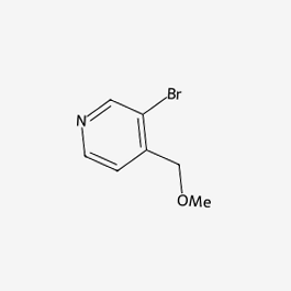 COCc1ccncc1Br